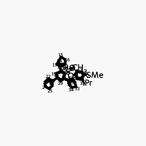 CSc1cc(C)c(OS(=O)(=O)c2c(C3CC4CCC3C4)cc(C3CC4CCC3C4)cc2C2CC3CCC2C3)cc1C(C)C